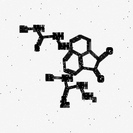 CCNC(=S)NN.CCNC(=S)NN.O=C1C(=O)c2cccc3cccc1c23.[Zn]